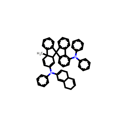 CC12C=CC(N(C3=CCC4C=CCCC4=C3)c3ccccc3)=CC1C1(c3ccccc3-c3c(N(c4ccccc4)c4ccccc4)cccc31)c1ccccc12